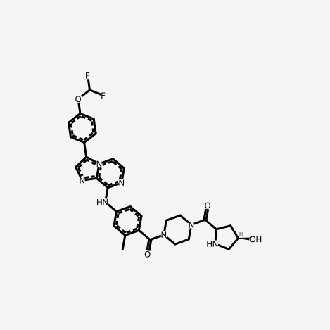 Cc1cc(Nc2nccn3c(-c4ccc(OC(F)F)cc4)cnc23)ccc1C(=O)N1CCN(C(=O)C2C[C@@H](O)CN2)CC1